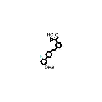 COc1ccc(F)c(C2CCC(/C=C/c3cccc(C(CC(=O)O)C4CC4)c3)CC2)c1